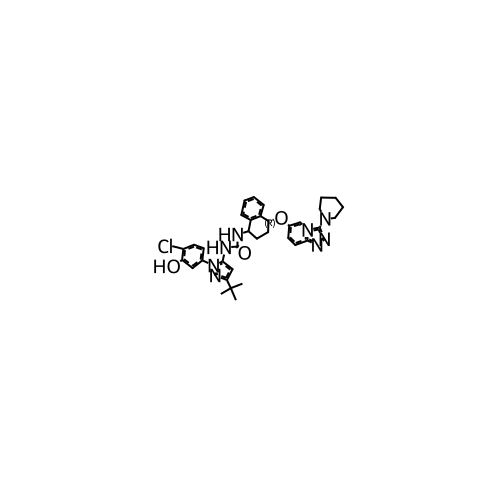 CC(C)(C)c1cc(NC(=O)NC2CC[C@@H](Oc3ccc4nnc(N5CCCCC5)n4c3)c3ccccc32)n(-c2ccc(Cl)c(O)c2)n1